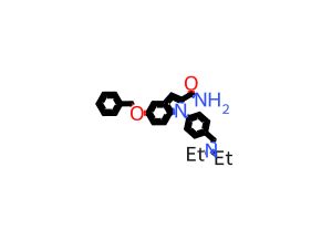 CCN(CC)Cc1ccc(-n2c(C(N)=O)cc3cc(OCc4ccccc4)ccc32)cc1